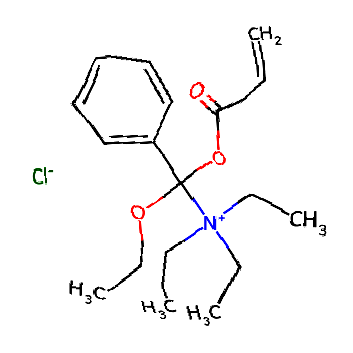 C=CC(=O)OC(OCC)(c1ccccc1)[N+](CC)(CC)CC.[Cl-]